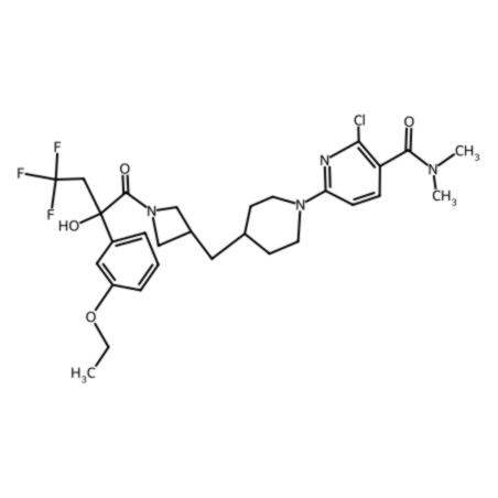 CCOc1cccc(C(O)(CC(F)(F)F)C(=O)N2CC(CC3CCN(c4ccc(C(=O)N(C)C)c(Cl)n4)CC3)C2)c1